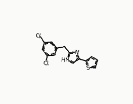 Clc1cc(Cl)cc(Cc2nc(-c3cccs3)c[nH]2)c1